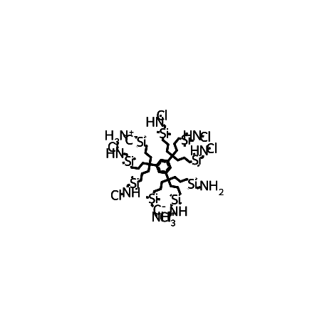 C[Si](C)(CN)CCCC(CCC[Si](C)(C)C[CH-][NH3+])(CCC[Si](C)(C)CNCl)c1cc(C(CCC[Si](C)(C)C[CH-][NH3+])(CCC[Si](C)(C)CNCl)CCC[Si](C)(C)CNCl)cc(C(CCC[Si](C)(C)CNCl)(CCC[Si](C)(C)CNCl)CCC[Si](C)(C)CNCl)c1